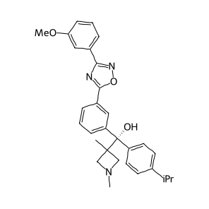 COc1cccc(-c2noc(-c3cccc([C@@](O)(c4ccc(C(C)C)cc4)C4(C)CN(C)C4)c3)n2)c1